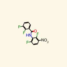 O=C(Nc1c(F)ccc([N+](=O)[O-])c1F)c1cccc(F)c1F